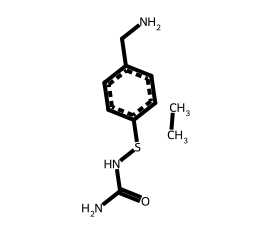 CC.NCc1ccc(SNC(N)=O)cc1